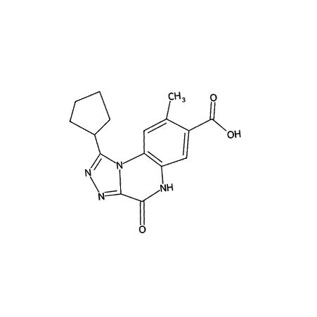 Cc1cc2c(cc1C(=O)O)[nH]c(=O)c1nnc(C3CCCC3)n12